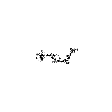 CC1C(OCCCC(=O)N(CCO)CCOP(=O)(O)OCCNCCOP(=O)(O)OCCNCCOOP(=O)(O)C(C)C)OC(CO)C(O)C1O